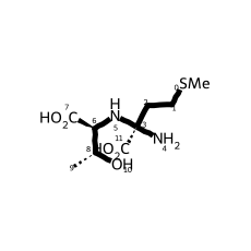 CSCC[C@@](N)(N[C@H](C(=O)O)[C@@H](C)O)C(=O)O